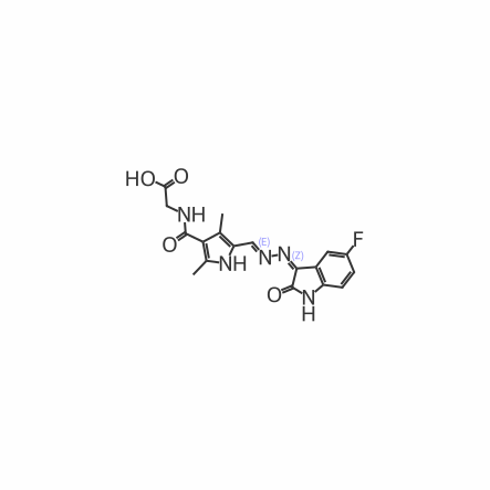 Cc1[nH]c(/C=N/N=C2\C(=O)Nc3ccc(F)cc32)c(C)c1C(=O)NCC(=O)O